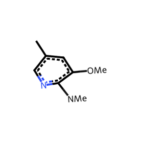 CNc1ncc(C)cc1OC